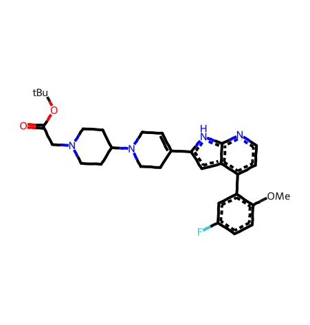 COc1ccc(F)cc1-c1ccnc2[nH]c(C3=CCN(C4CCN(CC(=O)OC(C)(C)C)CC4)CC3)cc12